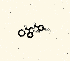 COc1ccccc1C(=CNC(=O)c1ccc([N+](=O)[O-])cc1)C(=O)N1CCCCCC1